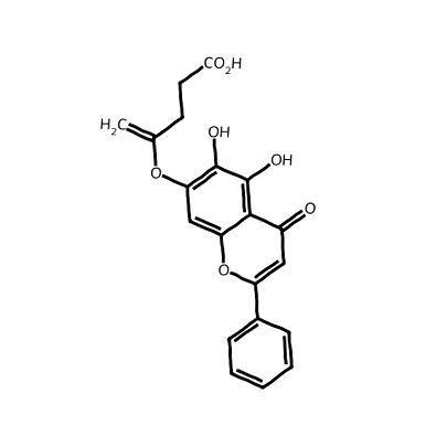 C=C(CCC(=O)O)Oc1cc2oc(-c3ccccc3)cc(=O)c2c(O)c1O